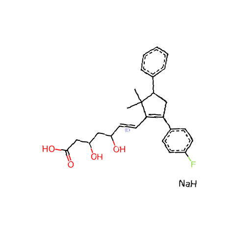 CC1(C)C(/C=C/C(O)CC(O)CC(=O)O)=C(c2ccc(F)cc2)CC1c1ccccc1.[NaH]